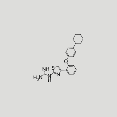 N=C(N)Nc1nc(-c2ccccc2Oc2ccc(C3CCCCC3)cc2)cs1